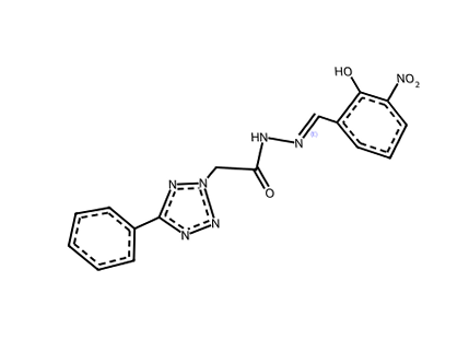 O=C(Cn1nnc(-c2ccccc2)n1)N/N=C/c1cccc([N+](=O)[O-])c1O